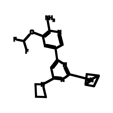 Nc1ncc(-c2cc(N3CCC3)nc(N3CC4CC3C4)n2)cc1OC(F)F